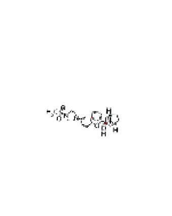 CS(=O)(=O)N1CCN(c2ccc(OC[C@]3(O)C[C@H]4CC[C@@H](C3)N4Cc3ccccc3)cc2)CC1